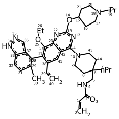 C=CC(=O)NCC1(CCC)CCN(c2nc(OC3CCN(C(C)C)CC3)nc3c(OCC)c(-c4c(C)ccc5[nH]ncc45)c(C=C)cc23)CC1